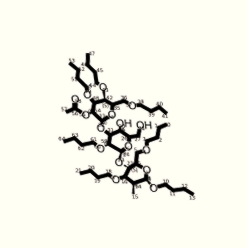 CCCCOCC1O[C@@H](OCCCC)[C@@H](C)C(OCCCC)[C@@H]1O[C@@H]1OC(CO)[C@@H](O)C(O[C@@H]2OC(COCCCC)[C@H](OCCCC)C(OCCCC)[C@@H]2OC(C)=O)[C@H]1OCCCC